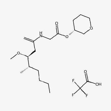 C=C(C[C@H](OC)[C@@H](C)CCCC)NCC(=O)O[C@@H]1CCCOC1.O=C(O)C(F)(F)F